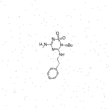 CCCCN1C(NCCc2ccccc2)=NC(N)=NS1(=O)=O